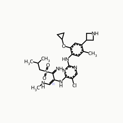 CN/C=C(/Nc1nc(Nc2cc(C)c(C3CNC3)cc2OC2CC2)ncc1Cl)C(=N)S(=O)(=O)CC(C)C